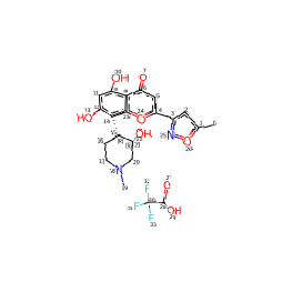 Cc1cc(-c2cc(=O)c3c(O)cc(O)c([C@H]4CCN(C)C[C@H]4O)c3o2)no1.O=C(O)C(F)(F)F